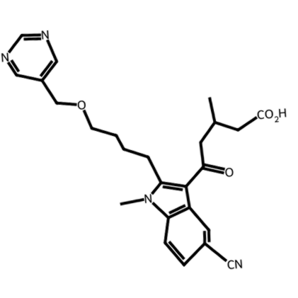 CC(CC(=O)O)CC(=O)c1c(CCCCOCc2cncnc2)n(C)c2ccc(C#N)cc12